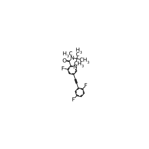 CN(C(=O)c1ncc(C#Cc2cc(F)ccc2F)cc1F)C(C)(C)C